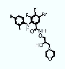 Cc1cc(I)ccc1Nc1c(C(=O)NOCC(O)CN2CCOCC2)cc(Br)c(F)c1F